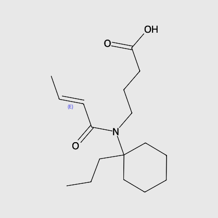 C/C=C/C(=O)N(CCCC(=O)O)C1(CCC)CCCCC1